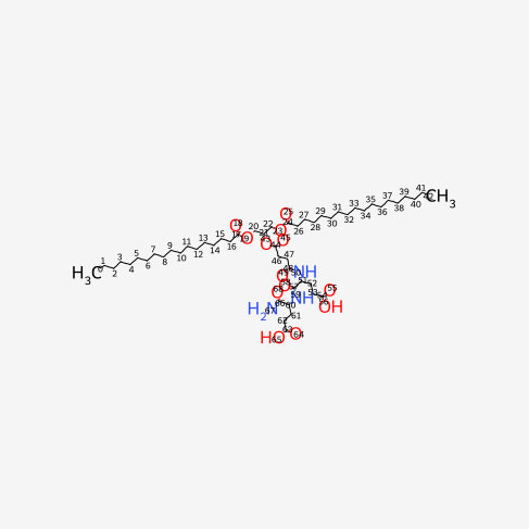 CCCCCCCCCCCCCCCCCC(=O)OCC(COC(=O)CCCCCCCCCCCCCCCCC)OC(=O)CCC(=O)NC(CCC(=O)O)C(=O)NC(CCC(=O)O)C(N)=O